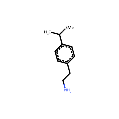 CSC(C)c1ccc(CCN)cc1